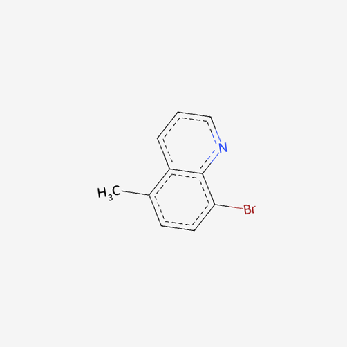 Cc1ccc(Br)c2ncccc12